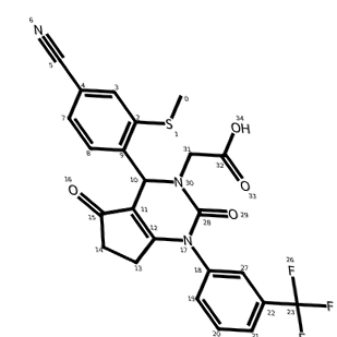 CSc1cc(C#N)ccc1C1C2=C(CCC2=O)N(c2cccc(C(F)(F)F)c2)C(=O)N1CC(=O)O